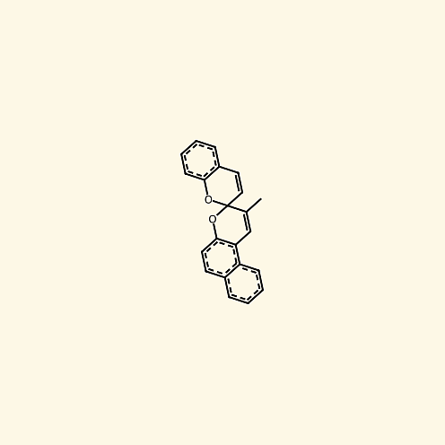 CC1=Cc2c(ccc3ccccc23)OC12C=Cc1ccccc1O2